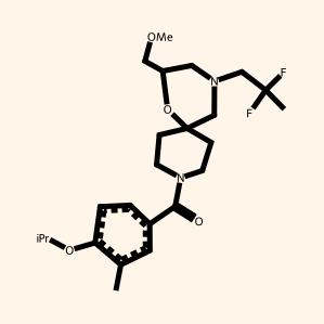 COCC1CN(CC(C)(F)F)CC2(CCN(C(=O)c3ccc(OC(C)C)c(C)c3)CC2)O1